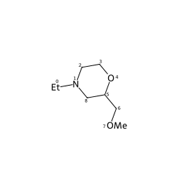 CCN1CCOC(COC)C1